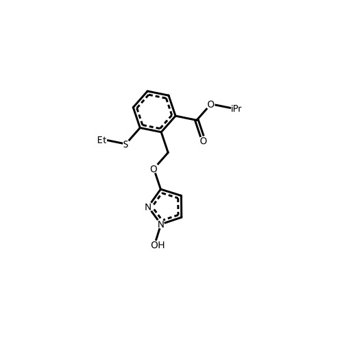 CCSc1cccc(C(=O)OC(C)C)c1COc1ccn(O)n1